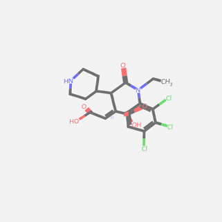 CCN(C(=O)C(/C(=C\C(=O)O)C(=O)O)C1CCNCC1)c1ccc(Cl)c(Cl)c1Cl